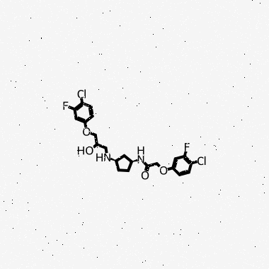 O=C(COc1ccc(Cl)c(F)c1)N[C@H]1CC[C@@H](NCC(O)COc2ccc(Cl)c(F)c2)C1